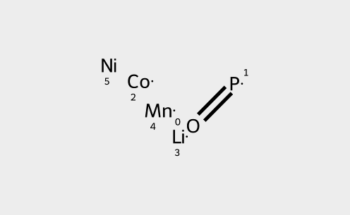 O=[P].[Co].[Li].[Mn].[Ni]